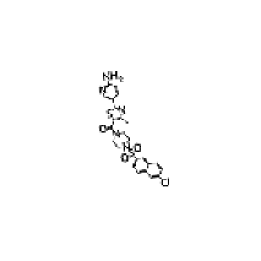 Cc1nc(-c2ccc(N)nc2)sc1C(=O)N1CCN(S(=O)(=O)c2ccc3cc(Cl)ccc3c2)CC1